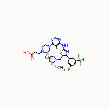 CC[C@@H]1CCCN1Cc1sc(Nc2ncnc(N3CCN(CCC(=O)O)[C@@H](C)C3)c2F)nc1-c1cc(F)cc(C(F)(F)F)c1